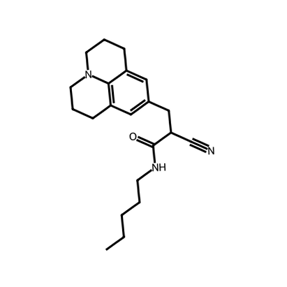 CCCCCNC(=O)C(C#N)Cc1cc2c3c(c1)CCCN3CCC2